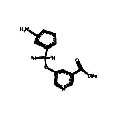 [2H]C([2H])(Oc1cncc(C(=O)OC)c1)c1cccc(N)c1